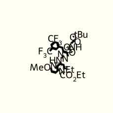 CCOC(=O)N1c2ccc(OC)nc2[C@@H](Nc2ncc(S(=O)(=O)NCC(=O)OC(C)(C)C)c(Cc3cc(C(F)(F)F)cc(C(F)(F)F)c3)n2)C[C@H]1CC